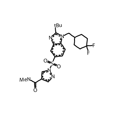 CNC(=O)c1cnn(S(=O)(=O)c2ccc3c(c2)nc(C(C)(C)C)n3CC2CCC(F)(F)CC2)c1